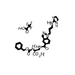 O=C(N[C@@H](CNC(=O)c1ccc2c(cnn2CCCNC2=NCCN2)c1)C(=O)O)OCc1ccccc1.O=C(O)C(F)(F)F